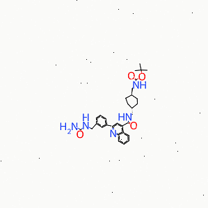 CC(C)(C)OC(=O)NC[C@H]1CC[C@H](CNC(=O)c2cc(-c3cccc(CNC(N)=O)c3)nc3ccccc23)CC1